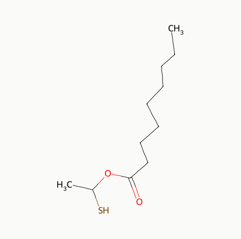 CCCCCCCCC(=O)OC(C)S